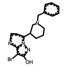 Oc1nn2c(C3CCCN(Cc4ccccc4)C3)ccnc2c1Br